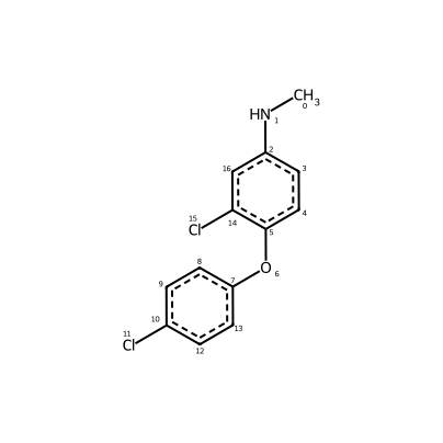 CNc1ccc(Oc2ccc(Cl)cc2)c(Cl)c1